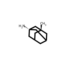 C[C@]12CC3CC(C1)C[C@@](N)(C3)C2